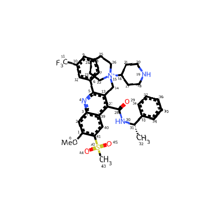 COc1cc2nc(-c3cccc(C(F)(F)F)c3)c(C[N+]3(C4CCNCC4)CCCCC3)c(C(=O)N[C@@H](C)c3ccccc3)c2cc1S(C)(=O)=O